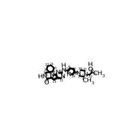 C[C@@H]1CN(c2ccc(Nc3ncc4cc5n(c4n3)C3(CCCCC3)CNC5=O)nc2)CCN1C[C@@H](C)O